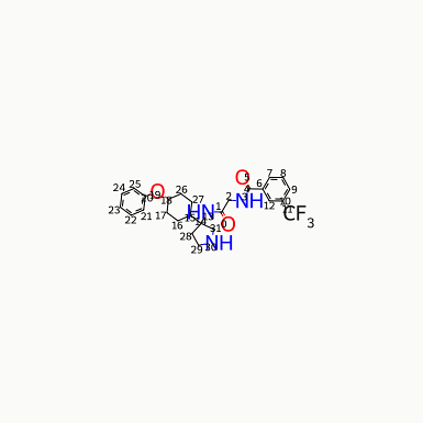 O=C(CNC(=O)c1cccc(C(F)(F)F)c1)N[C@@]1(C2CCC(Oc3ccccc3)CC2)CCNC1